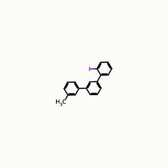 Cc1cccc(-c2cccc(-c3ccccc3I)c2)c1